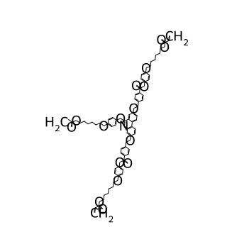 C=CC(=O)OCCCCCCOc1ccc(OC(=O)c2ccc(COc3ccc4c(c3)nc(Oc3ccc(OCCCCCCOC(=O)C=C)cc3)c3cc(OCc5ccc(C(=O)Oc6ccc(OCCCCCCOC(=O)C=C)cc6)cc5)ccc34)cc2)cc1